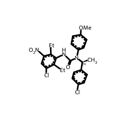 CCc1c(Cl)cc([N+](=O)[O-])c(CC)c1NC(=O)N(c1ccc(OC)cc1)[C@@H](C)c1ccc(Cl)cc1